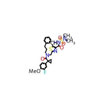 COc1ccc(C2(C(=O)N(CCCc3ccccc3)Cc3nc(C(=O)NS(=O)(=O)N(C)C)c(C)s3)CC2)cc1F